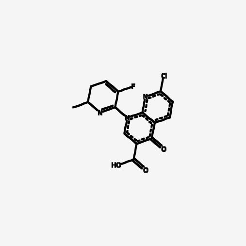 CC1CC=C(F)C(n2cc(C(=O)O)c(=O)c3ccc(Cl)nc32)=N1